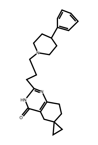 O=c1[nH]c(CCCN2CCC(c3ccccc3)CC2)nc2c1CC1(CC2)CC1